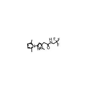 Cc1ccc(C)n1-c1cc(CC(=O)NCC(F)(F)F)n(C)n1